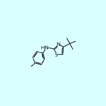 Cc1ccc(Nc2nc(C(C)(C)C)cs2)cc1